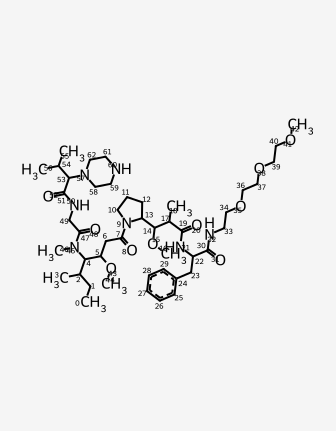 CCC(C)C(C(CC(=O)N1CCCC1C(OC)C(C)C(=O)NC(Cc1ccccc1)C(=O)NCCOCCOCCOC)OC)N(C)C(=O)CNC(=O)C(C(C)C)N1CCNCC1